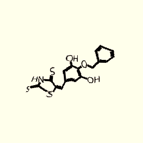 Oc1cc(C=C2SC(=S)NC2=S)cc(O)c1OCc1ccccc1